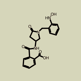 O=C(O)c1ccccc1C(=O)NC1CC(=O)N(Cc2ccccc2NO)C1